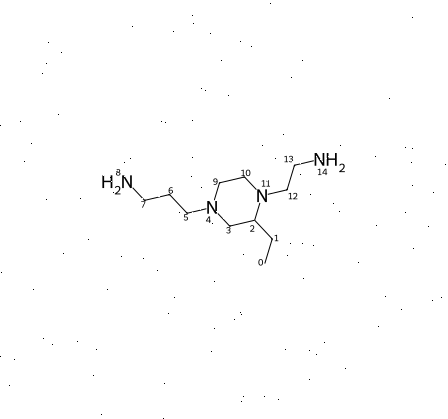 CCC1CN(CCCN)CCN1CCN